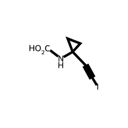 O=C(O)NC1(C#CI)CC1